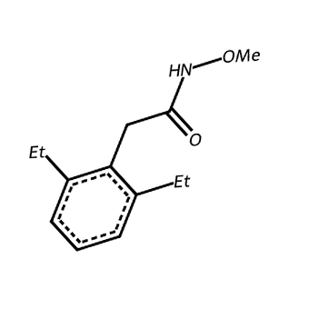 CCc1cccc(CC)c1CC(=O)NOC